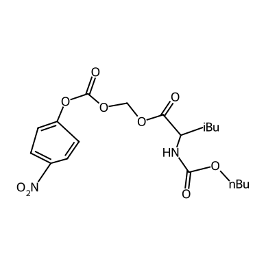 CCCCOC(=O)NC(C(=O)OCOC(=O)Oc1ccc([N+](=O)[O-])cc1)C(C)CC